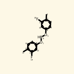 Cc1ccc(OBOc2ccc(C)c(F)c2)cc1F